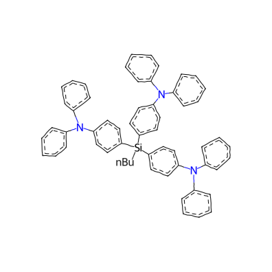 CCCC[Si](c1ccc(N(c2ccccc2)c2ccccc2)cc1)(c1ccc(N(c2ccccc2)c2ccccc2)cc1)c1ccc(N(c2ccccc2)c2ccccc2)cc1